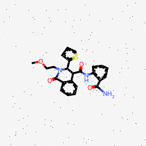 COCCN1C(=O)c2ccccc2C(C(=O)Nc2ccccc2C(N)=O)C1c1cccs1